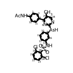 CC(=O)Nc1ccc(-c2nc([AsH]c3cccc(NS(=O)(=O)c4c(Cl)cccc4Cl)c3)ncc2C)cc1